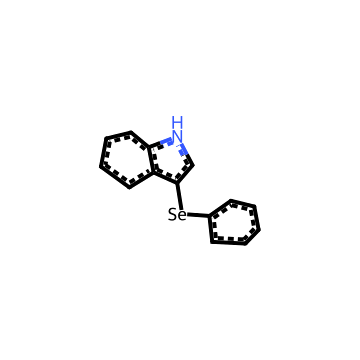 c1ccc([Se]c2c[nH]c3ccccc23)cc1